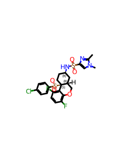 Cc1nc(S(=O)(=O)N[C@@H]2CC[C@@]3(S(=O)(=O)c4ccc(Cl)cc4)c4c(F)ccc(F)c4OC[C@H]3C2)cn1C